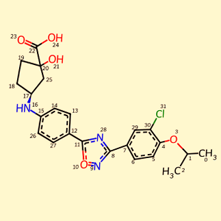 CC(C)Oc1ccc(-c2noc(-c3ccc(N[C@H]4CCC(O)(C(=O)O)C4)cc3)n2)cc1Cl